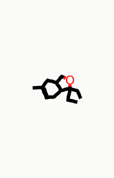 CCC1(CC)OCC2CC(C)=CCC21